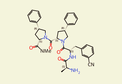 CNC(=O)[C@@H]1C[C@H](c2ccccc2)CN1C(=O)[C@@H]1C[C@H](c2ccccc2)CN1C(=O)[C@H](Cc1cccc(C#N)c1)NC(=O)[C@H](C)N